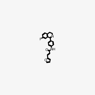 O=C(/C=C/c1ccco1)Nc1ccc(C2=NCCc3ccc(F)cc32)cc1